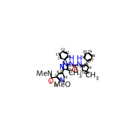 CNC(=O)c1cc(-c2nn(-c3ccccc3)c(NC(=O)N[C@@H]3C[C@@H](C)C[C@H]3c3ccccc3)c2C)cnc1OC